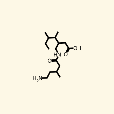 CCC(C)C(C)C(CNC(=O)CC(C)CCN)CC(=O)O